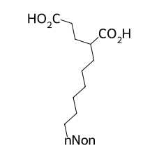 CCCCCCCCCCCCCCCC(CCC(=O)O)C(=O)O